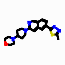 Cc1nnc(-c2ccc3cnc(N4CCC(N5CCOCC5)CC4)cc3c2)s1